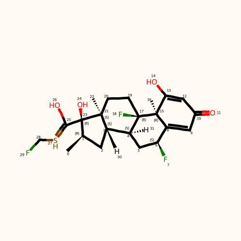 C[C@@H]1C[C@H]2[C@@H]3C[C@H](F)C4=CC(=O)C=C(O)[C@]4(C)[C@@]3(F)CC[C@]2(C)[C@@]1(O)C(O)=[SH]CF